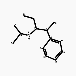 CCC(NC(C)C)C(C)c1ccccc1